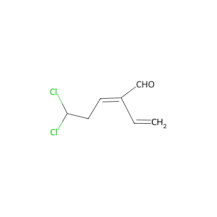 C=C/C(C=O)=C\CC(Cl)Cl